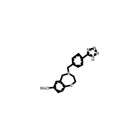 COc1ccc2c(c1)CN(Cc1ccc(-c3nnn[nH]3)cc1)CCS2